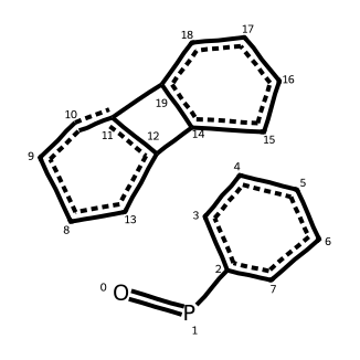 O=Pc1ccccc1.c1ccc2c(c1)-c1ccccc1-2